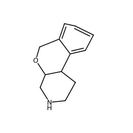 c1ccc2c(c1)COC1CNCCC21